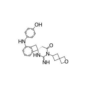 N=C1N[C@]2(CC(=O)N1C1CC3(COC3)C1)Cc1c(Nc3ccc(O)cc3)cccc12